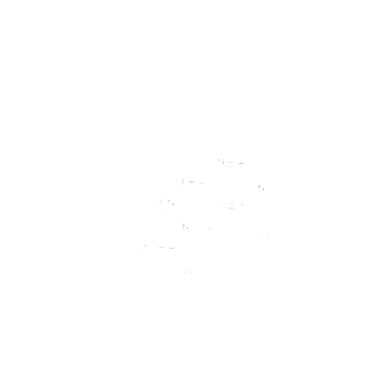 CC(=O)N(N)C(=O)c1c(Cl)ncnc1Cl